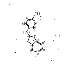 [CH2]c1cnc(NC2Cc3ccccc3C2)nc1